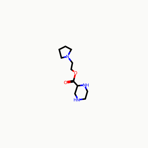 O=C(OCCN1CCCC1)C1CNCCN1